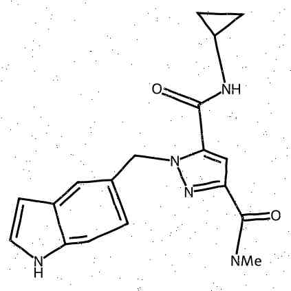 CNC(=O)c1cc(C(=O)NC2CC2)n(Cc2ccc3[nH]ccc3c2)n1